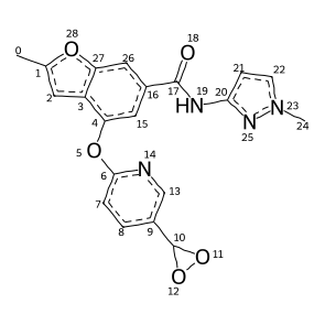 Cc1cc2c(Oc3ccc(C4OO4)cn3)cc(C(=O)Nc3ccn(C)n3)cc2o1